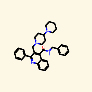 O=C(NCc1ccccc1)c1c(CN2CCC(N3CCCCC3)CC2)c(-c2ccccc2)nc2ccccc12